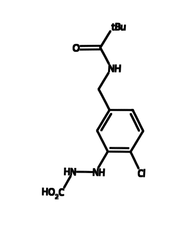 CC(C)(C)C(=O)NCc1ccc(Cl)c(NNC(=O)O)c1